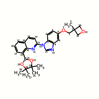 CC1(COc2ccc3c(c2)ncn3-c2ccc3cccc(B4OC(C)(C)C(C)(C)O4)c3n2)COC1